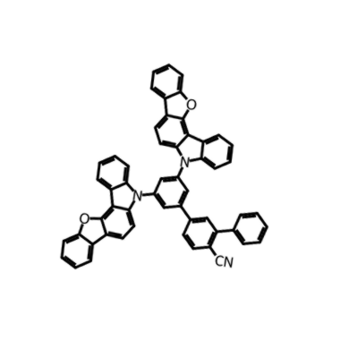 N#Cc1ccc(-c2cc(-n3c4ccccc4c4c5oc6ccccc6c5ccc43)cc(-n3c4ccccc4c4c5oc6ccccc6c5ccc43)c2)cc1-c1ccccc1